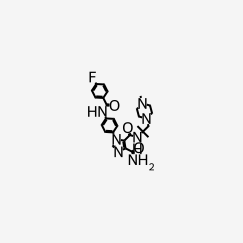 CN1CCN(CC(C)(C)NC(=O)c2c(C(N)=O)ncn2-c2ccc(NC(=O)c3ccc(F)cc3)cc2)CC1